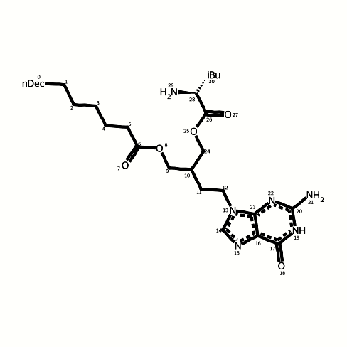 CCCCCCCCCCCCCCCC(=O)OCC(CCn1cnc2c(=O)[nH]c(N)nc21)COC(=O)[C@@H](N)[C@@H](C)CC